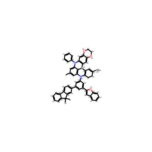 Cc1cc2c3c(c1)N(c1ccccc1)c1cc4c(cc1B3C1=C(CCC(C(C)(C)C)=C1)N2c1cc(-c2ccc3c(c2)C(C)(C)c2ccccc2-3)cc(-c2cc3ccccc3o2)c1)OCCO4